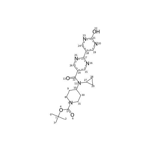 CC(C)(C)OC(=O)N1CCC(N(C(=O)c2cnc(-c3cnc(O)nc3)nc2)C2CC2)CC1